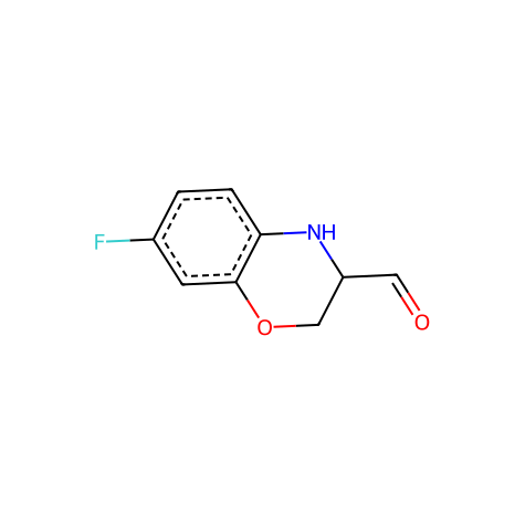 O=CC1COc2cc(F)ccc2N1